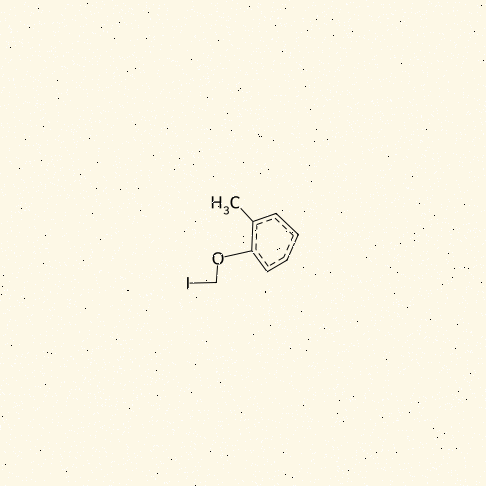 Cc1ccccc1OCI